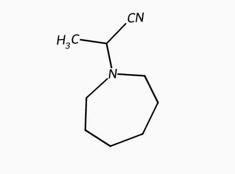 CC(C#N)N1CCCCCC1